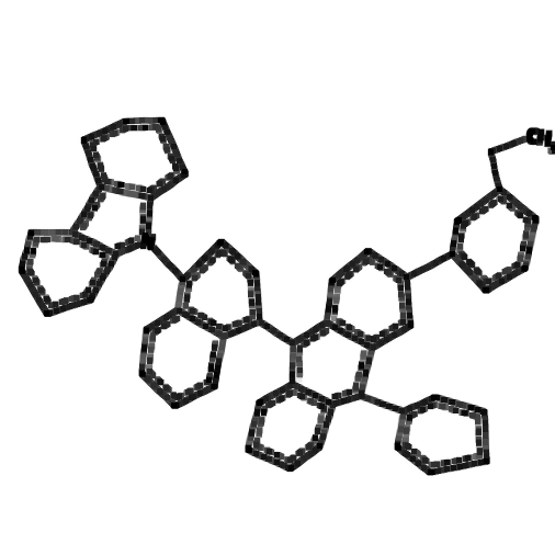 CCc1cccc(-c2ccc3c(-c4ccc(-n5c6ccccc6c6ccccc65)c5ccccc45)c4ccccc4c(-c4ccccc4)c3c2)c1